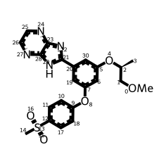 COC[C@H](C)Oc1cc(Oc2ccc(S(C)(=O)=O)cc2)cc(-c2nc3nccnc3[nH]2)c1